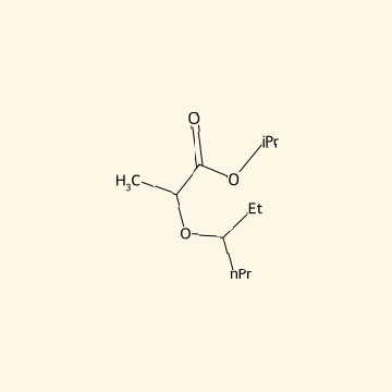 CCCC(CC)OC(C)C(=O)OC(C)C